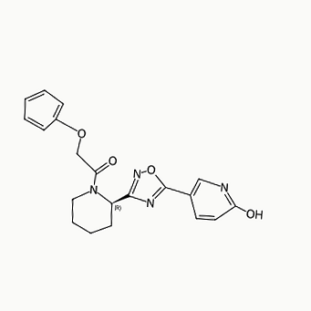 O=C(COc1ccccc1)N1CCCC[C@@H]1c1noc(-c2ccc(O)nc2)n1